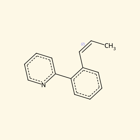 C/C=C\c1ccccc1-c1ccccn1